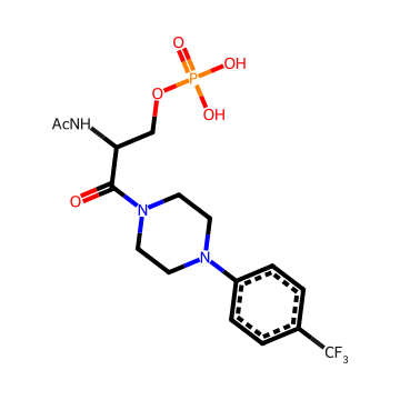 CC(=O)NC(COP(=O)(O)O)C(=O)N1CCN(c2ccc(C(F)(F)F)cc2)CC1